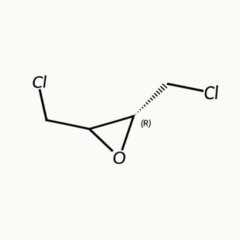 ClCC1O[C@H]1CCl